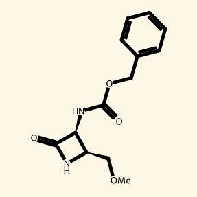 COC[C@H]1NC(=O)[C@H]1NC(=O)OCc1ccccc1